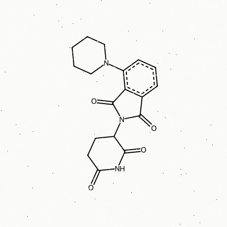 O=C1CCC(N2C(=O)c3cccc(N4CC[CH]CC4)c3C2=O)C(=O)N1